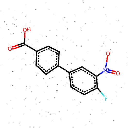 O=C(O)c1ccc(-c2ccc(F)c([N+](=O)[O-])c2)cc1